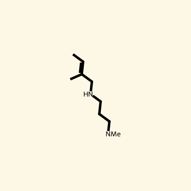 C/C=C(\C)CNCCCNC